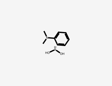 CN(C)c1ccccc1.OBO